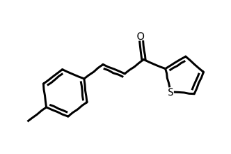 Cc1ccc(C=CC(=O)c2cccs2)cc1